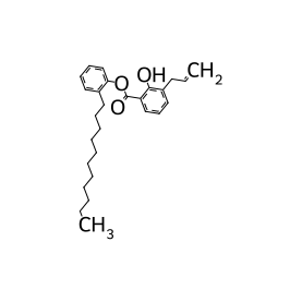 C=CCc1cccc(C(=O)Oc2ccccc2CCCCCCCCCCC)c1O